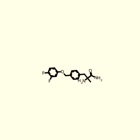 CC(N)(Cc1ccc(COc2ccc(F)c(F)c2)cc1)C(N)=O